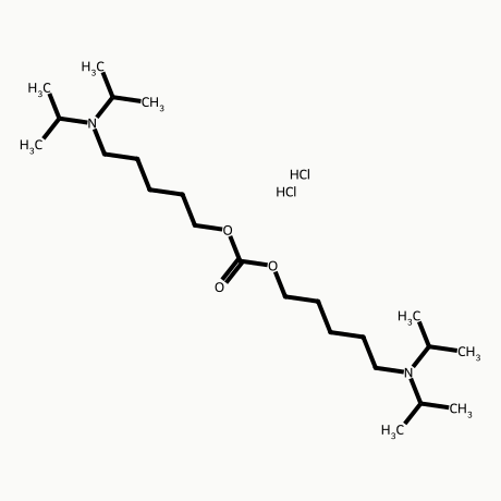 CC(C)N(CCCCCOC(=O)OCCCCCN(C(C)C)C(C)C)C(C)C.Cl.Cl